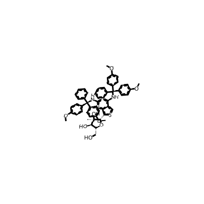 COc1ccc(C(Nc2nc(NC(c3ccccc3)(c3ccc(OC)cc3)c3ccc(OC)cc3)c3csc([C@@H]4O[C@H](CO)[C@@H](O)[C@@]4(C)O)c3n2)(c2ccccc2)c2ccc(OC)cc2)cc1